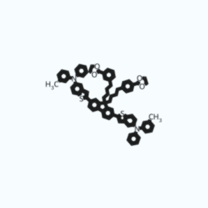 Cc1cccc(N(c2ccccc2)c2ccc3sc(-c4ccc5c(c4)C(CCCCc4ccc(C6OCCO6)cc4)(CCCCc4cccc(C6OCCO6)c4)c4cc(-c6cc7cc(N(c8ccccc8)c8cccc(C)c8)ccc7s6)ccc4-5)cc3c2)c1